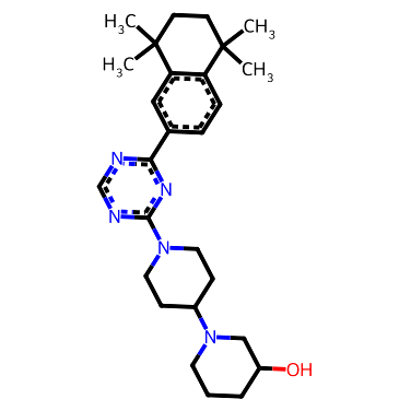 CC1(C)CCC(C)(C)c2cc(-c3ncnc(N4CCC(N5CCCC(O)C5)CC4)n3)ccc21